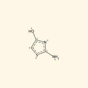 Nc1nc(O)cs1